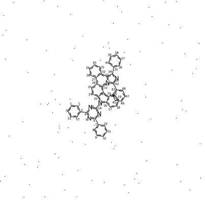 c1ccc(-c2nc(-c3ccccc3)nc(-n3c4ccccc4c4c3ccc3c5ccccc5c5c(-c6ccccc6)nc(-c6ccccc6)n5c34)n2)cc1